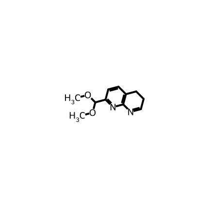 COC(OC)c1ccc2c(n1)N=CCC2